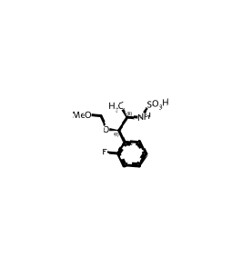 COCO[C@H](c1ccccc1F)[C@@H](C)NS(=O)(=O)O